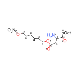 CCCCCCCCC(=O)C(N)CC(=O)OCCCCCCO[N+](=O)[O-]